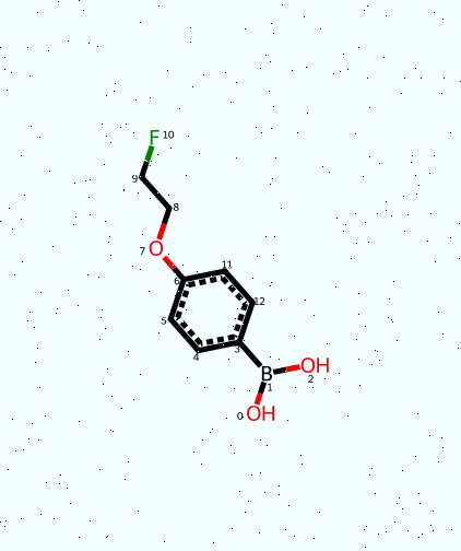 OB(O)c1ccc(OCCF)cc1